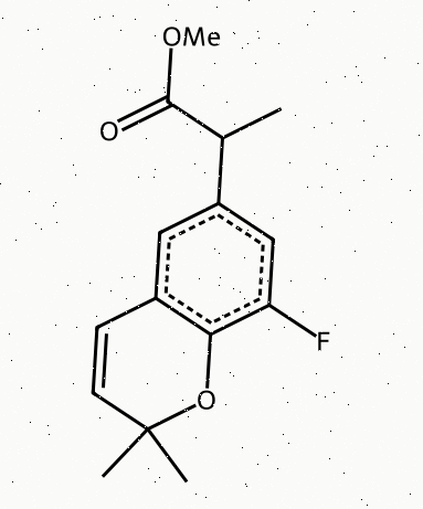 COC(=O)C(C)c1cc(F)c2c(c1)C=CC(C)(C)O2